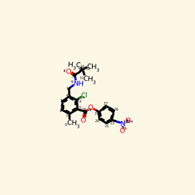 Cc1ccc(CNC(=O)C(C)(C)C)c(Cl)c1C(=O)Oc1ccc([N+](=O)[O-])cc1